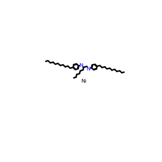 CCCCCCCCCCCc1ccc(/N=C/C(CCCCCC)=N/c2ccc(CCCCCCCCCCC)cc2)cc1.[Ni]